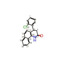 O=C1CC(c2ccccc2Cl)c2ccc3ccccc3c2N1